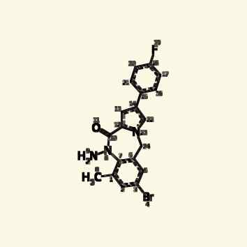 Cc1cc(Br)cc2c1N(N)C(=O)c1cc(-c3ccc(F)cc3)cn1C2